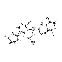 CC1=CN(C)C(=O)C(NC(=O)NC(CC(=O)O)c2cc(-c3cccc(C)c3)ccc2F)C1=O